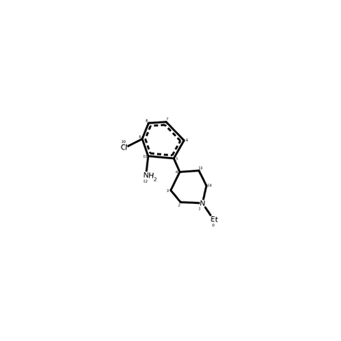 CCN1CCC(c2cccc(Cl)c2N)CC1